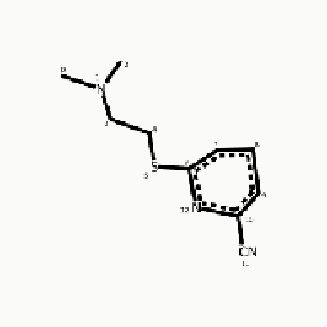 CN(C)CCSc1cccc(C#N)n1